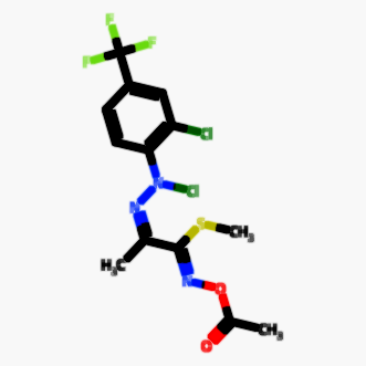 CSC(=NOC(C)=O)C(C)=NN(Cl)c1ccc(C(F)(F)F)cc1Cl